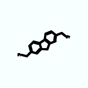 CC(C)Cc1[c]c2c(cc1)-c1ccc(CC(C)C)cc1C2